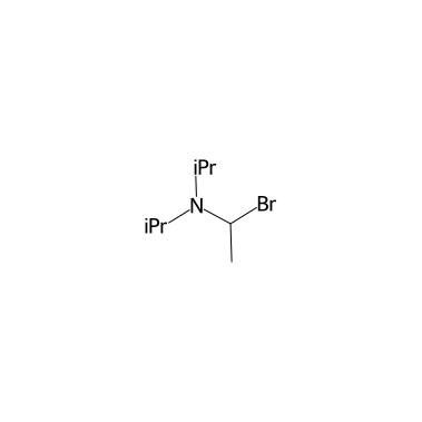 CC(C)N(C(C)C)C(C)Br